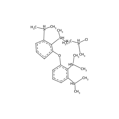 C[SiH](C)Cl.C[SiH](C)c1cccc(Oc2cccc([SiH](C)C)c2[SiH](C)C)c1[SiH](C)C